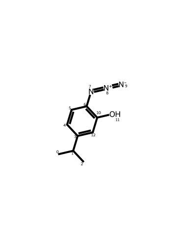 CC(C)c1ccc(N=[N+]=[N-])c(O)c1